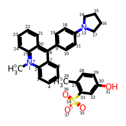 C[n+]1c2ccccc2c(-c2ccc(N3CCCC3)cc2)c2ccccc21.Cc1ccc(O)cc1S(=O)(=O)[O-]